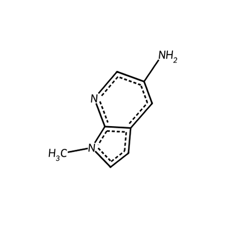 Cn1ccc2cc(N)cnc21